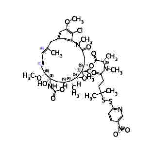 COc1cc2cc(c1Cl)N(C)C(=O)C[C@H](OC(=O)[C@H](C)N(C)C(=O)CCC(C)(C)SSc1ccc([N+](=O)[O-])cn1)[C@]1(C)O[C@H]1[C@H](C)[C@@H]1C[C@@](O)(NC(=O)O1)[C@H](OC)/C=C/C=C(\C)C2